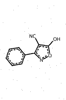 N#Cc1c(-c2ccccc2)noc1O